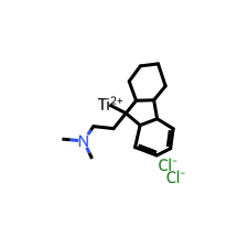 CN(C)CC[C]1([Ti+2])C2C=CC=CC2C2CCCCC21.[Cl-].[Cl-]